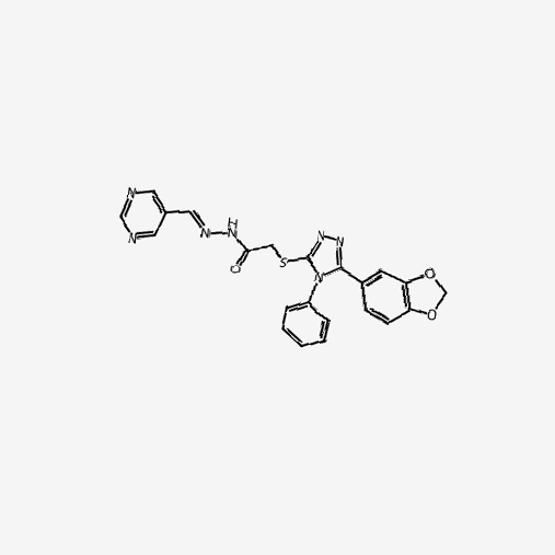 O=C(CSc1nnc(-c2ccc3c(c2)OCO3)n1-c1ccccc1)NN=Cc1cncnc1